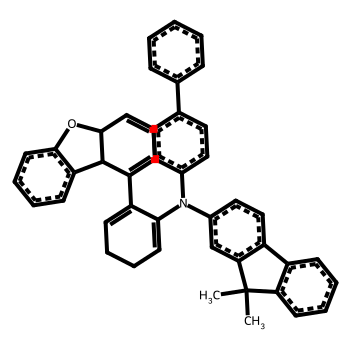 CC1(C)c2ccccc2-c2ccc(N(C3=CCCC=C3C3=CC=CC4Oc5ccccc5C34)c3ccc(-c4ccccc4)cc3)cc21